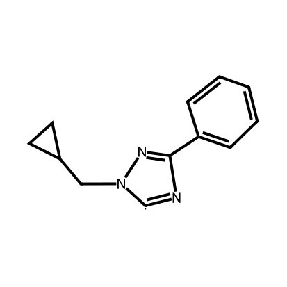 [c]1nc(-c2ccccc2)nn1CC1CC1